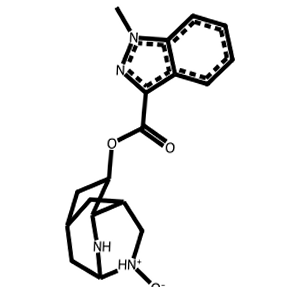 Cn1nc(C(=O)OC2CC3CC4C[NH+]([O-])C(C3)NC42)c2ccccc21